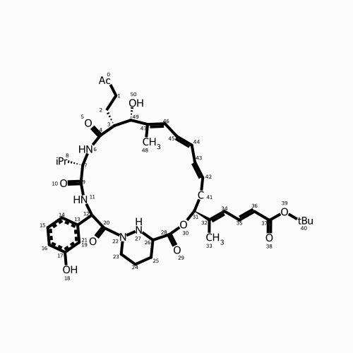 CC(=O)CC[C@H]1C(=O)N[C@@H](C(C)C)C(=O)NC(c2cccc(O)c2)C(=O)N2CCCC(N2)C(=O)O[C@H](/C(C)=C/C=C/C(=O)OC(C)(C)C)C/C=C/C=C/C=C(\C)[C@H]1O